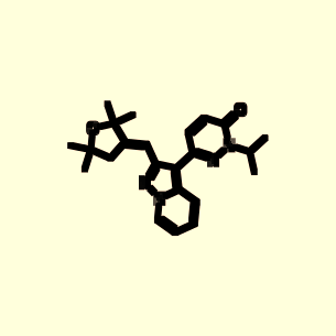 CC(C)n1nc(-c2c(C=C3CC(C)(C)OC3(C)C)nn3ccccc23)ccc1=O